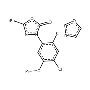 CC(C)Oc1cc(-n2nc(C(C)(C)C)oc2=O)c(Cl)cc1Cl.c1cocn1